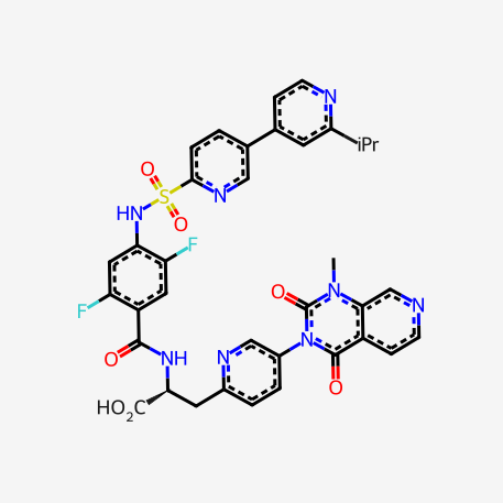 CC(C)c1cc(-c2ccc(S(=O)(=O)Nc3cc(F)c(C(=O)N[C@@H](Cc4ccc(-n5c(=O)c6ccncc6n(C)c5=O)cn4)C(=O)O)cc3F)nc2)ccn1